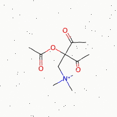 CC(=O)OC(C[N+](C)(C)C)(C(C)=O)C(C)=O